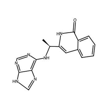 C[C@H](Nc1ncnc2[nH]cnc12)c1cc2ccccc2c(=O)[nH]1